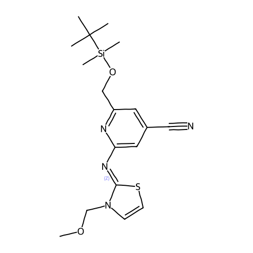 COCn1ccs/c1=N\c1cc(C#N)cc(CO[Si](C)(C)C(C)(C)C)n1